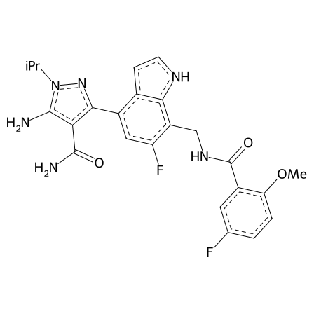 COc1ccc(F)cc1C(=O)NCc1c(F)cc(-c2nn(C(C)C)c(N)c2C(N)=O)c2cc[nH]c12